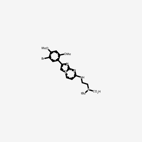 COc1cc(OC)c(-c2cn3ccc(NCCN(C(=O)O)C(C)(C)C)nc3n2)cc1Br